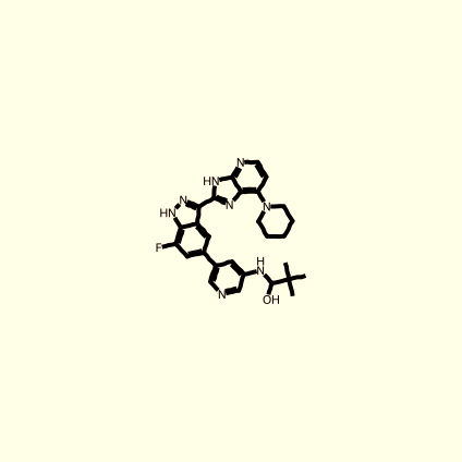 CC(C)(C)C(O)Nc1cncc(-c2cc(F)c3[nH]nc(-c4nc5c(N6CCCCC6)ccnc5[nH]4)c3c2)c1